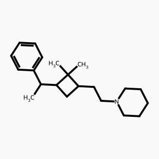 CC(c1ccccc1)C1CC(CCN2CCCCC2)C1(C)C